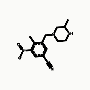 Cc1c(CN2CCNC(C)C2)cc(C#N)cc1[N+](=O)[O-]